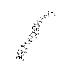 CCCCCCC[C@H]1CO[C@H](c2ccc(OC/C=C/[C@H]3CC[C@H](CCC)CC3)cc2)OC1